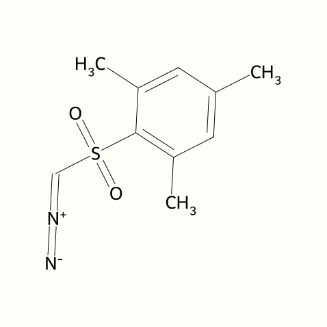 Cc1cc(C)c(S(=O)(=O)C=[N+]=[N-])c(C)c1